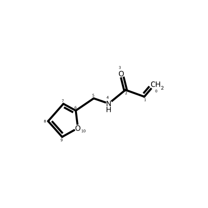 C=CC(=O)NCc1ccco1